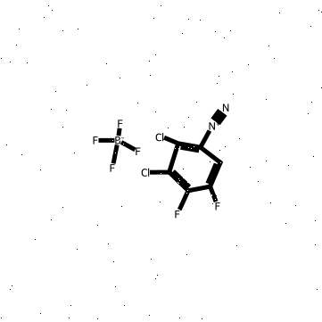 F[B-](F)(F)F.N#[N+]c1cc(F)c(F)c(Cl)c1Cl